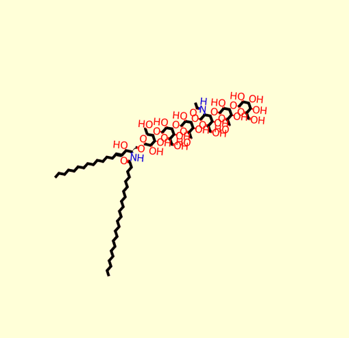 CCCCCCCCCCCCC/C=C/[C@@H](O)[C@H](CO[C@@H]1OC(CO)[C@@H](O[C@@H]2OC(CO)[C@H](O)[C@H](O[C@H]3OC(CO)[C@H](O)[C@H](O[C@@H]4OC(CO)[C@H](O)[C@H](O[C@@H]5OC(CO)[C@H](O)[C@H](O[C@H]6OC(CO)[C@H](O)[C@H](O)C6O)C5O)C4NC(C)=O)C3O)C2O)[C@H](O)C1O)NC(=O)CCCCCCCCCCCCCCCCCCCCCCC